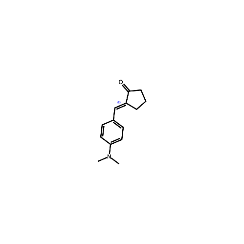 CN(C)c1ccc(/C=C2\CCCC2=O)cc1